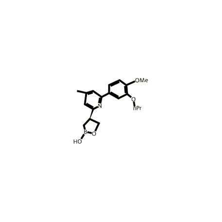 CCCOc1cc(-c2cc(C)cc([C@H]3COB(O)C3)n2)ccc1OC